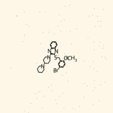 COc1ccc(Br)cc1CSc1nc2ccccc2nc1N1CCC(N2CCCCC2)CC1